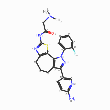 CN(C)CC(=O)Nc1nc2c(s1)-c1c(c(-c3ccc(N)nc3)nn1-c1ccccc1F)CCC2